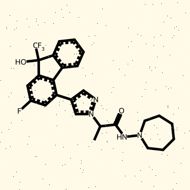 CC(C(=O)NN1CCCCCC1)n1cc(-c2cc(F)cc3c2-c2ccccc2C3(O)C(F)(F)F)cn1